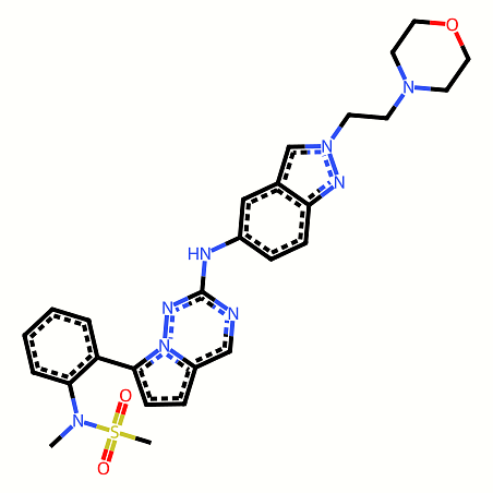 CN(c1ccccc1-c1ccc2cnc(Nc3ccc4nn(CCN5CCOCC5)cc4c3)nn12)S(C)(=O)=O